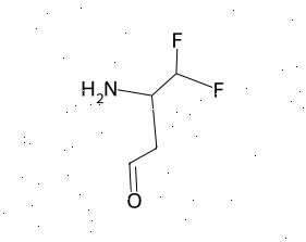 NC(CC=O)C(F)F